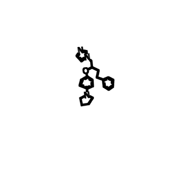 c1ccc(CCC(Cn2ccnc2)Oc2ccc(N3CCCC3)cc2)cc1